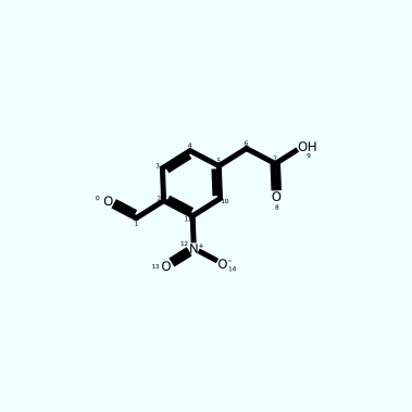 O=Cc1ccc(CC(=O)O)cc1[N+](=O)[O-]